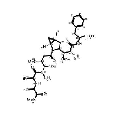 CC[C@H](C)[C@@H]([C@@H](CC(=O)N1[C@H]2C[C@H]2C[C@H]1[C@H](OC)[C@@H](C)C(=O)NC(Cc1ccccc1)C(=O)O)OC)N(C)C(=O)C(NC(=O)C(NC)C(C)C)C(C)C